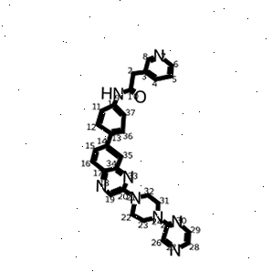 O=C(Cc1cccnc1)Nc1ccc(-c2ccc3ncc(N4CCN(c5cnccn5)CC4)nc3c2)cc1